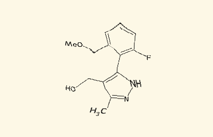 COCc1cccc(F)c1-c1[nH]nc(C)c1CO